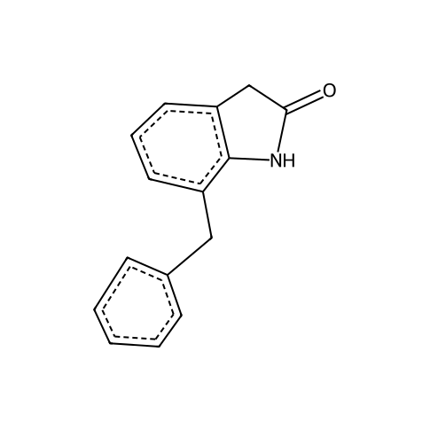 O=C1Cc2cccc(Cc3ccccc3)c2N1